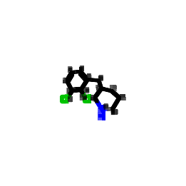 Clc1cccc(CC2[CH]NCCC2)c1Cl